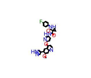 COc1cc2nccc(Oc3ccc(NC(=O)C4(C(=O)Nc5ccc(F)cc5)CC4)cn3)c2cc1-c1cn[nH]c1